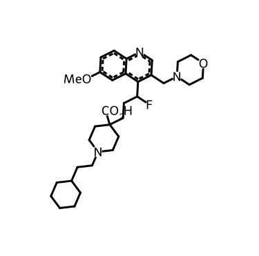 COc1ccc2ncc(CN3CCOCC3)c(C(F)CCC3(C(=O)O)CCN(CCC4CCCCC4)CC3)c2c1